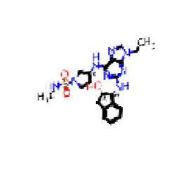 CCn1cnc2c(N[C@H]3CCN(S(=O)(=O)NC)C3)nc(N[C@@H]3c4ccccc4C[C@@H]3O)nc21